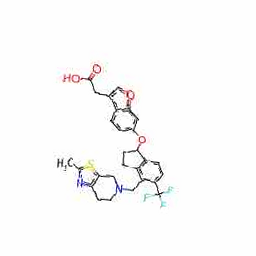 Cc1nc2c(s1)CN(Cc1c(C(F)(F)F)ccc3c1CCC3Oc1ccc3c(CC(=O)O)coc3c1)CC2